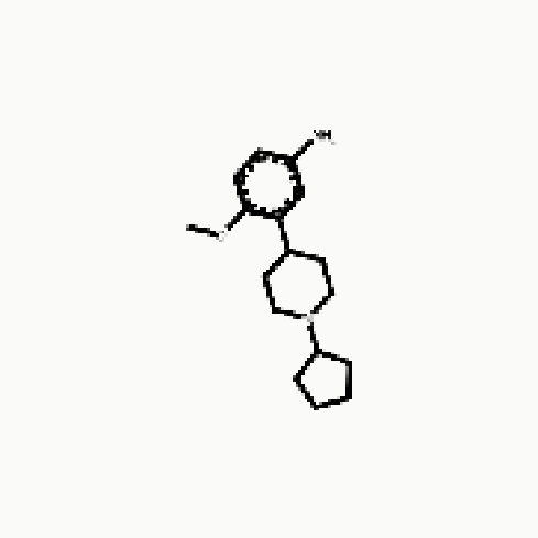 COc1ccc(N)cc1C1CCN(C2CCCC2)CC1